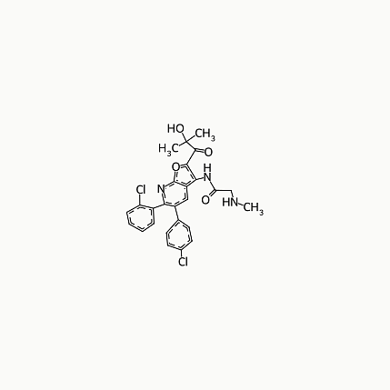 CNCC(=O)Nc1c(C(=O)C(C)(C)O)oc2nc(-c3ccccc3Cl)c(-c3ccc(Cl)cc3)cc12